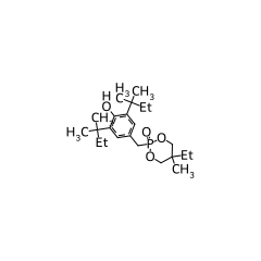 CCC1(C)COP(=O)(Cc2cc(C(C)(C)CC)c(O)c(C(C)(C)CC)c2)OC1